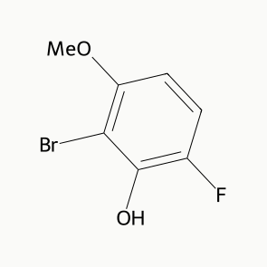 COc1ccc(F)c(O)c1Br